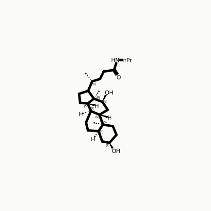 CCCNC(=O)CC[C@@H](C)C1CC[C@H]2[C@@H]3CC[C@@H]4C[C@H](O)CC[C@]4(C)[C@H]3C[C@H](O)[C@]12C